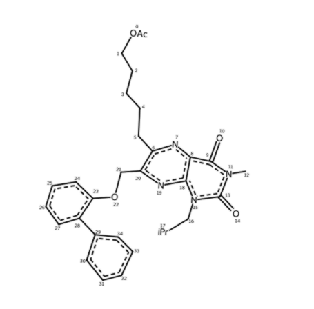 CC(=O)OCCCCCc1nc2c(=O)n(C)c(=O)n(CC(C)C)c2nc1COc1ccccc1-c1ccccc1